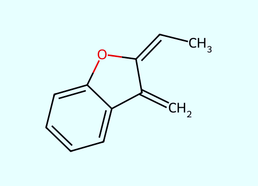 C=c1/c(=C\C)oc2ccccc12